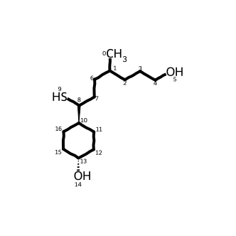 CC(CCCO)CCC(S)[C@H]1CC[C@H](O)CC1